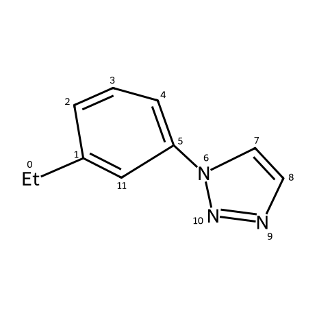 CCc1cccc(-n2ccnn2)c1